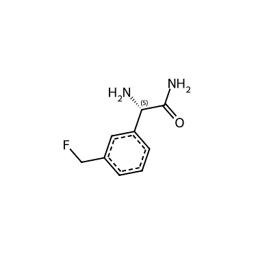 NC(=O)[C@@H](N)c1cccc(CF)c1